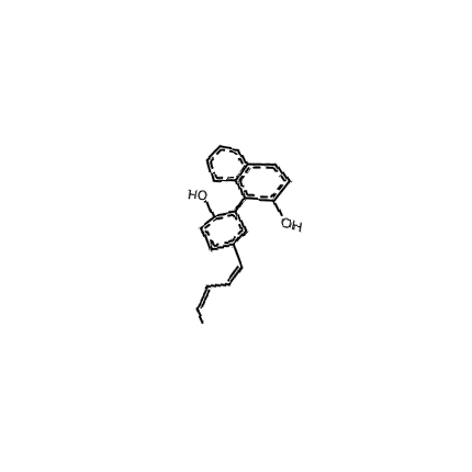 C/C=C\C=C/c1ccc(O)c(-c2c(O)ccc3ccccc23)c1